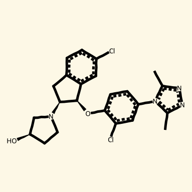 Cc1nnc(C)n1-c1ccc(O[C@@H]2c3cc(Cl)ccc3C[C@@H]2N2CC[C@@H](O)C2)c(Cl)c1